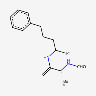 C=C(NC(CCCc1ccccc1)C(C)C)C(NC=O)[C@@H](C)CC